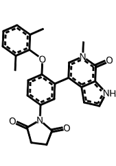 Cc1cccc(C)c1Oc1ccc(N2C(=O)CCC2=O)cc1-c1cn(C)c(=O)c2[nH]ccc12